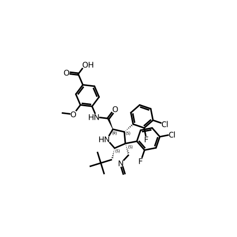 C=NC[C@]1(c2ccc(Cl)cc2F)[C@H](CC(C)(C)C)N[C@@H](C(=O)Nc2ccc(C(=O)O)cc2OC)[C@@H]1c1cccc(Cl)c1F